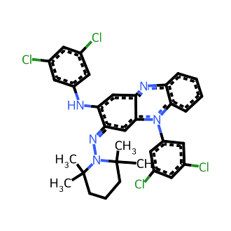 CC1(C)CCCC(C)(C)N1N=c1cc2n(-c3cc(Cl)cc(Cl)c3)c3ccccc3nc-2cc1Nc1cc(Cl)cc(Cl)c1